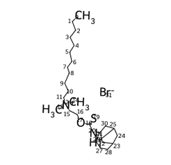 CCCCCCCCCCCC[N+](C)(C)CCOC(=S)NC12CC3CC(CC(C3)C1)C2.[Br-]